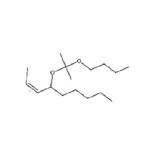 CCCCCC(/C=C\I)OC(C)(C)OCCCC